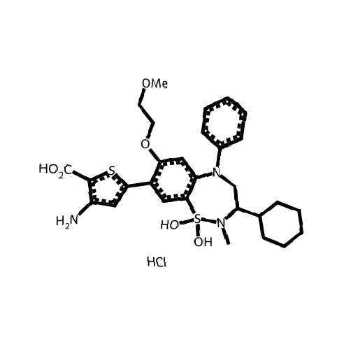 COCCOc1cc2c(cc1-c1cc(N)c(C(=O)O)s1)S(O)(O)N(C)C(C1CCCCC1)CN2c1ccccc1.Cl